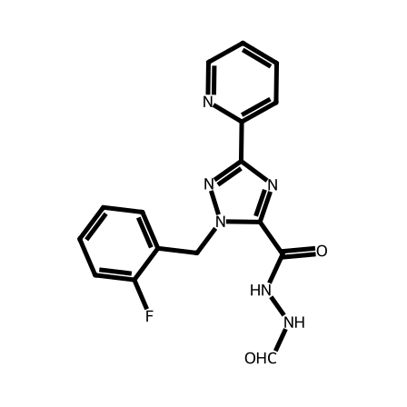 O=CNNC(=O)c1nc(-c2ccccn2)nn1Cc1ccccc1F